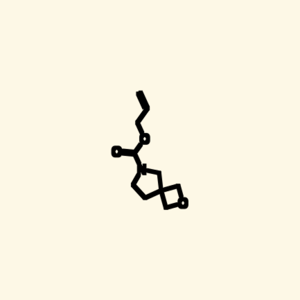 C=CCOC(=O)N1CCC2(COC2)C1